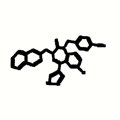 COc1ccc(CN2C(=O)C(Cc3ccc4ccccc4c3)N=C(c3cn[nH]c3)c3cc(Cl)ccc32)cc1